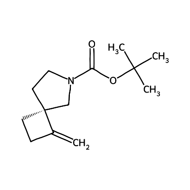 C=C1CC[C@@]12CCN(C(=O)OC(C)(C)C)C2